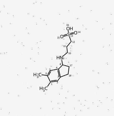 Cc1cc2c(cc1C)C(NCCCS(=O)(=O)O)CC2